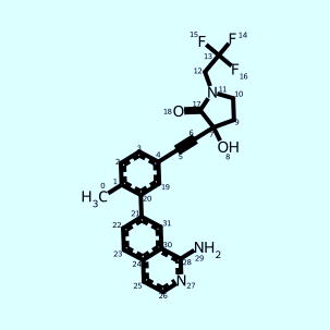 Cc1ccc(C#CC2(O)CCN(CC(F)(F)F)C2=O)cc1-c1ccc2ccnc(N)c2c1